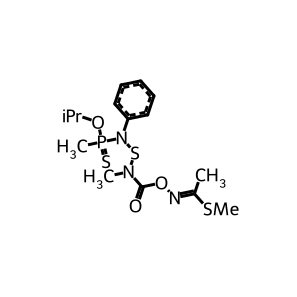 CSC(C)=NOC(=O)N(C)SN(c1ccccc1)P(C)(=S)OC(C)C